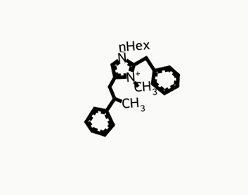 CCCCCCn1cc(CC(C)c2ccccc2)[n+](C)c1Cc1ccccc1